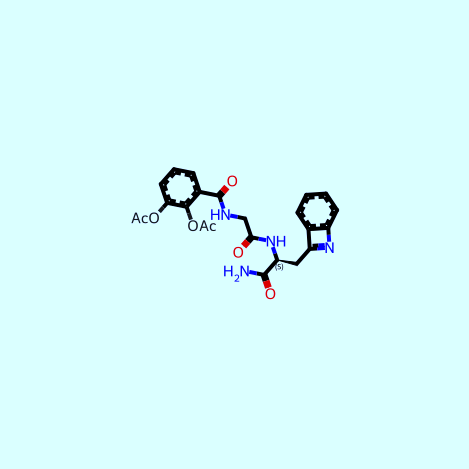 CC(=O)Oc1cccc(C(=O)NCC(=O)N[C@@H](CC2=Nc3ccccc32)C(N)=O)c1OC(C)=O